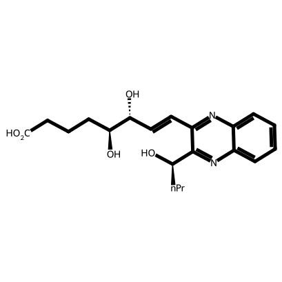 CCC[C@@H](O)c1nc2ccccc2nc1/C=C/[C@@H](O)[C@@H](O)CCCC(=O)O